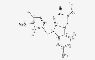 CCOC(Cn1c(=O)n(Cc2ncc(C)c(OC)c2C)c2nc(N)nc(Cl)c21)OCC